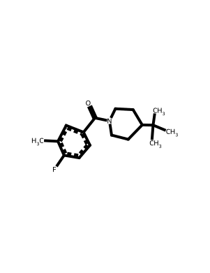 Cc1cc(C(=O)N2CCC(C(C)(C)C)CC2)ccc1F